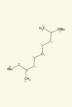 CC(C)COC(C)CCOCCC(C)CC(C)(C)C